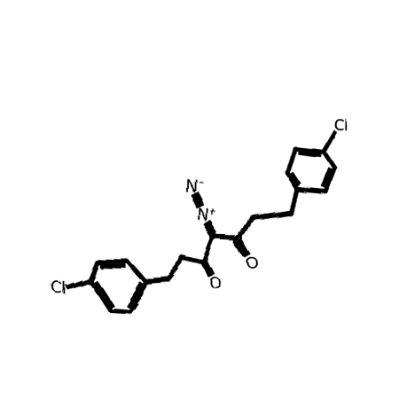 [N-]=[N+]=C(C(=O)CCc1ccc(Cl)cc1)C(=O)CCc1ccc(Cl)cc1